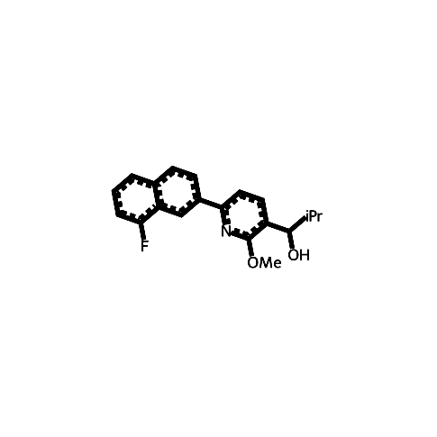 COc1nc(-c2ccc3cccc(F)c3c2)ccc1C(O)C(C)C